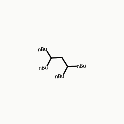 CCCCC(CCCC)CC(CCCC)CCCC